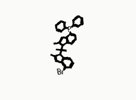 CC1=Cc2c(Br)cccc2C1C(C)(C)C1C(C)=Cc2c1cccc2P(c1ccccc1)c1ccccc1